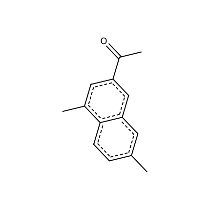 CC(=O)c1cc(C)c2ccc(C)cc2c1